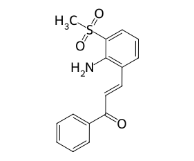 CS(=O)(=O)c1cccc(C=CC(=O)c2ccccc2)c1N